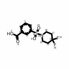 O=C(O)c1cccc(S(=O)(=O)N2CCC(F)(F)CC2)c1